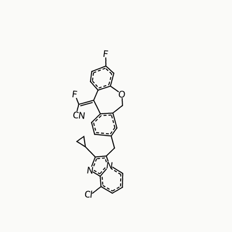 N#C/C(F)=C1\c2ccc(Cc3c(C4CC4)nc4c(Cl)cccn34)cc2COc2cc(F)ccc21